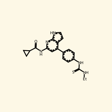 CCNC(=S)Nc1ccc(-c2cc(NC(=O)C3CC3)nc3[nH]ccc23)cc1